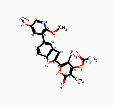 COc1cnc(OC)c(-c2ccc3oc(-c4oc(=O)c(C)c(OC(C)=O)c4C)cc3c2)c1